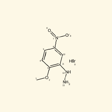 Br.COc1ccc([N+](=O)[O-])cc1NN